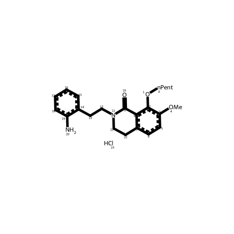 CCCCCOc1c(OC)ccc2c1C(=O)N(CCc1ccccc1N)CC2.Cl